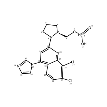 O=[PH](O)OC[C@@H]1CCCN1c1cc(-n2ccnc2)c2ccc(Cl)c(Cl)c2n1